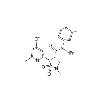 Cc1cccc(N(C(=O)[C@@H]2CN(C)S(=O)(=O)N2c2cc(C(F)(F)F)cc(C)n2)C(C)C)c1